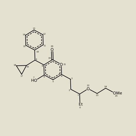 CCC(CCc1cc(O)c(C(c2ccccc2)C2CC2)c(=O)o1)OCCOC